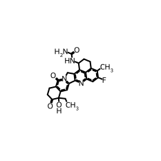 CCC1(O)C(=O)CCc2c1cc1n(c2=O)Cc2c-1nc1cc(F)c(C)c3c1c2C(NC(N)=O)CC3